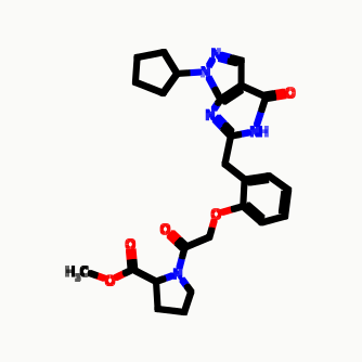 COC(=O)C1CCCN1C(=O)COc1ccccc1Cc1nc2c(cnn2C2CCCC2)c(=O)[nH]1